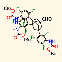 CC(C)(C)OC(=O)Nc1c(F)cc(F)c(C23CC4(C=O)CC(c5c(F)cc(F)c(NC(=O)OC(C)(C)C)c5F)(C2)C(c2c(F)cc(F)c(NC(=O)OC(C)(C)C)c2F)(C4)C3)c1F